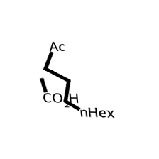 CC(=O)O.CCCCCCCCCC(C)=O